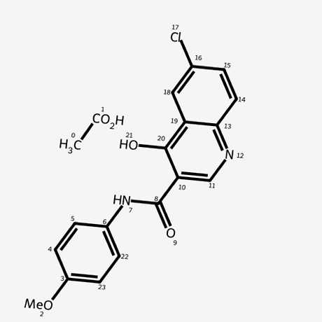 CC(=O)O.COc1ccc(NC(=O)c2cnc3ccc(Cl)cc3c2O)cc1